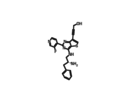 N[C@@H](CNc1nc(-c2ccncc2F)nc2c(C#CCO)csc12)Cc1ccccc1